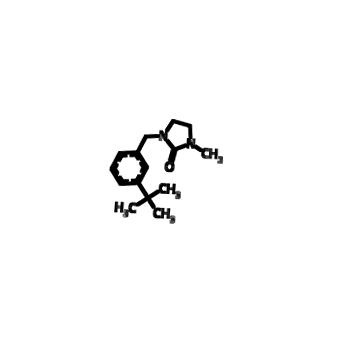 CN1CCN(Cc2cccc(C(C)(C)C)c2)C1=O